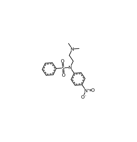 CN(C)CCN(c1ccc([N+](=O)[O-])cc1)S(=O)(=O)c1ccccc1